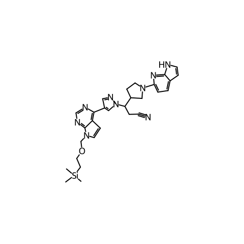 C[Si](C)(C)CCOCn1ccc2c(-c3cnn(C(CC#N)C4CCN(c5ccc6cc[nH]c6n5)C4)c3)ncnc21